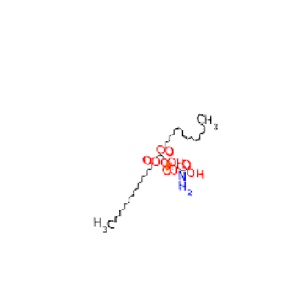 CC/C=C\C/C=C\C/C=C\C/C=C\CCCCC(=O)O[C@H](COC(=O)CCCCCCCCCCCCCCCCCC)COP(=O)(O)OC[C@H](N)C(=O)O